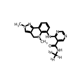 [2H]C([2H])([2H])NC(=O)c1cncnc1Nc1cccc2c1N(C)Cc1cn(C)nc1-2